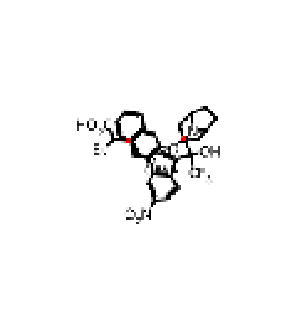 CCC(C(=O)O)c1ccc(OC2CC3CCC(C2)N3CC(O)(c2cn(Cc3ccccc3)c3cc([N+](=O)[O-])ccc23)C(F)(F)F)c(OC)c1